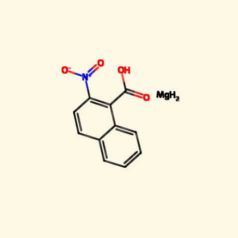 O=C(O)c1c([N+](=O)[O-])ccc2ccccc12.[MgH2]